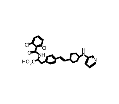 O=C(NC(Cc1ccc(/C=C/C2CCC(Nc3cccnc3)CC2)cc1)C(=O)O)c1c(Cl)cccc1Cl